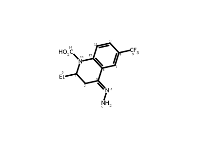 CCC1CC(=NN)c2cc(C(F)(F)F)ccc2N1C(=O)O